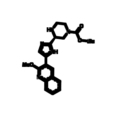 COc1nc2ccccc2cc1-c1cnc([C@@H]2CN(C(=O)OC(C)(C)C)CCN2)[nH]1